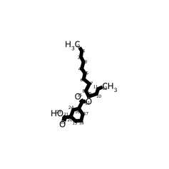 CCCCCCCCCC(CCC)OC(=O)C1CCCC(C(=O)O)C1